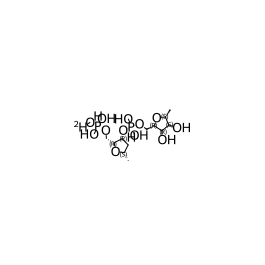 [2H]O[PH](O)(O)OC[C@H]1O[C@@H](C)C[C@H]1O[PH](O)(O)OC[C@H]1O[C@@H](C)[C@@H](O)[C@H]1O